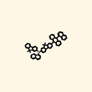 CC1(C)c2ccccc2-c2ccc(N(c3ccc4c(c3)C(C)(C)c3cc(-c5c6ccccc6c(-c6cccc7ccccc67)c6ccccc56)ccc3-4)c3cccc4ccccc34)cc21